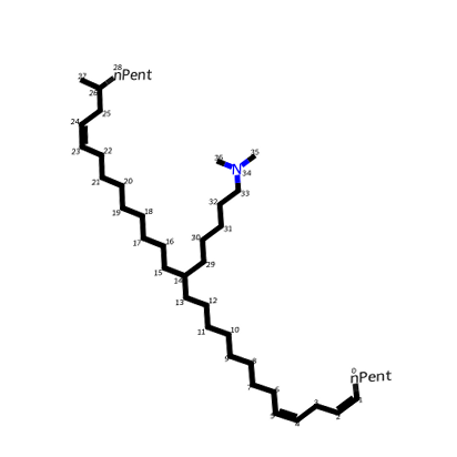 CCCCC/C=C\C/C=C\CCCCCCCCC(CCCCCCCC/C=C\CC(C)CCCCC)CCCCCN(C)C